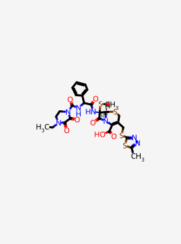 CCN1CCN(C(=O)NC(C(=O)N[C@]2(SC)C(=O)N3C(C(=O)O)=C(CSc4nnc(C)s4)CS[C@@H]32)c2ccccc2)C(=O)C1=O